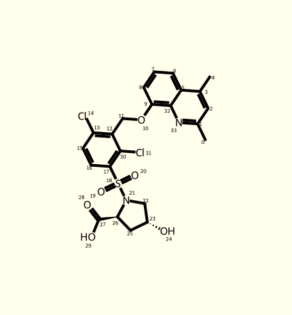 Cc1cc(C)c2cccc(OCc3c(Cl)ccc(S(=O)(=O)N4C[C@H](O)C[C@H]4C(=O)O)c3Cl)c2n1